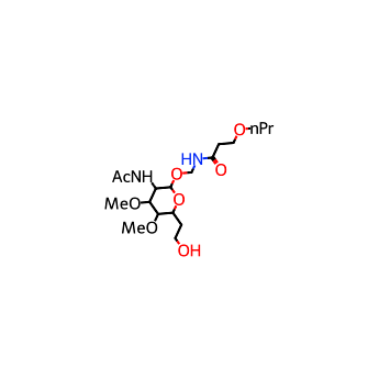 CCCOCCC(=O)NCOC1OC(CCO)C(OC)C(OC)C1NC(C)=O